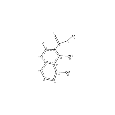 CC(=O)CC(=O)c1c(C)cc2cccc(O)c2c1O